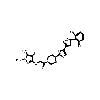 Cn1nc(OCC(=O)N2CCC(c3nc(C4=NOC(c5c(Cl)cccc5Cl)C4)cs3)CC2)c(Br)c1C(F)(F)F